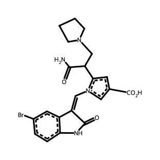 NC(=O)C(CN1CCCC1)c1cc(C(=O)O)cn1C=C1C(=O)Nc2ccc(Br)cc21